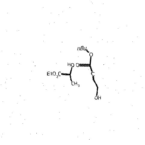 CCCCOC(=O)CCCO.CCOC(=O)C(C)O